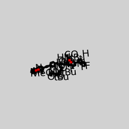 COC(=O)N[C@H](C(=O)N[C@H](C(=O)N[C@@H](Cc1ccc(C#Cc2cnc(N3CC4CC(C3)N4C3COC3)nc2)cc1)[C@@H](O)CN(Cc1c(F)cc(-c2ccn(CC(F)F)n2)cc1F)NC(=O)[C@@H](NC(=O)O)C(C)(C)C)C(C)(C)C)C(C)(C)C